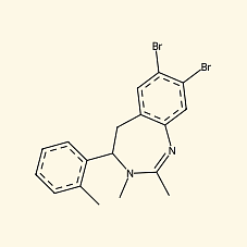 CC1=Nc2cc(Br)c(Br)cc2CC(c2ccccc2C)N1C